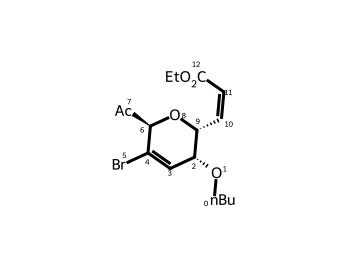 CCCCO[C@@H]1C=C(Br)[C@@H](C(C)=O)O[C@@H]1/C=C\C(=O)OCC